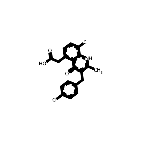 Cc1[nH]c2c(Cl)ccc(CC(=O)O)c2c(=O)c1Cc1ccc(Cl)cc1